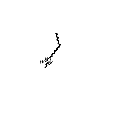 CCCCCCC/C=C\CCCCCCCOP(=O)(O)C(CCC)[N+](C)(C)C